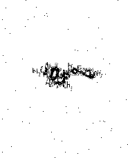 C=CC(=O)Nc1cccc(-n2c(=O)cc(C)c3cnc(Nc4ccc(N5CCN(C)CC5)c(F)c4)nc32)c1